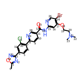 Cc1nc(-c2ccc(-c3ccc(C(=O)Nc4cc(OCCN(C)C)c(Br)cn4)cn3)c(Cl)c2)no1